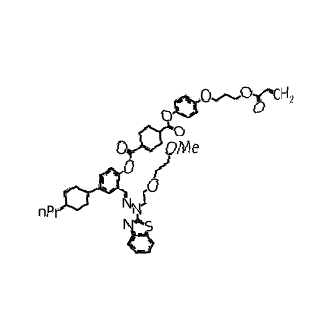 C=CC(=O)OCCCOc1ccc(OC(=O)C2CCC(C(=O)Oc3ccc(C4CCC(CCC)CC4)cc3/C=N/N(CCOCCOC)c3nc4ccccc4s3)CC2)cc1